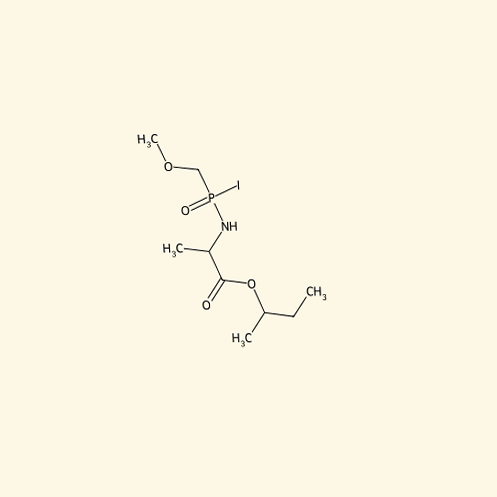 CCC(C)OC(=O)C(C)NP(=O)(I)COC